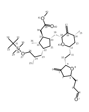 C=C1C[C@H](CCC=O)O[C@H]1CC[C@H]1C[C@@H](C)C(=C)[C@@H](C[C@@H]2C[C@H](C[C@H](C)CO[Si](C)(C)C(C)(C)C)[C@H](C)[C@H]2CC(=O)OC)O1